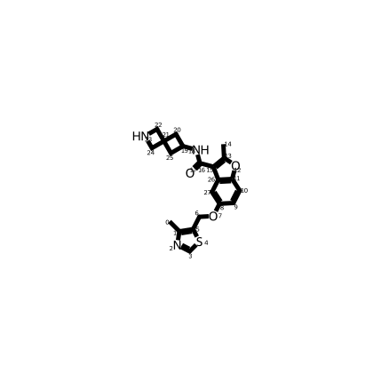 Cc1ncsc1COc1ccc2oc(C)c(C(=O)NC3CC4(CNC4)C3)c2c1